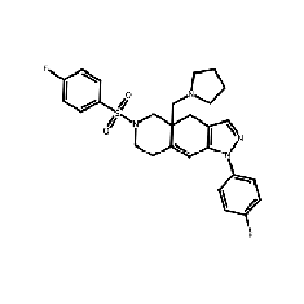 O=S(=O)(c1ccc(F)cc1)N1CCC2=Cc3c(cnn3-c3ccc(F)cc3)CC2(CN2CCCC2)C1